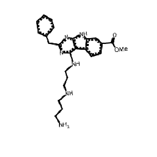 COC(=O)c1ccc2c(c1)[nH]c1nc(Cc3ccccc3)nc(NCCCNCCCN)c12